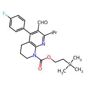 CC(C)c1nc2c(c(-c3ccc(F)cc3)c1C=O)CCCN2C(=O)OCC[Si](C)(C)C